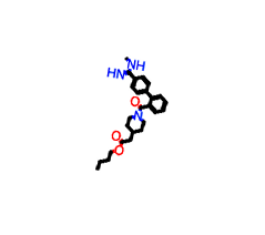 CCCCOC(=O)CC1CCN(C(=O)c2ccccc2-c2ccc(C(=N)NC)cc2)CC1